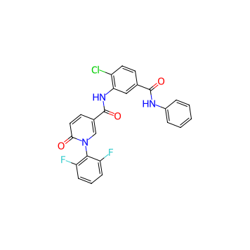 O=C(Nc1ccccc1)c1ccc(Cl)c(NC(=O)c2ccc(=O)n(-c3c(F)cccc3F)c2)c1